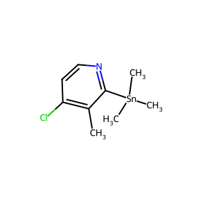 Cc1c(Cl)ccn[c]1[Sn]([CH3])([CH3])[CH3]